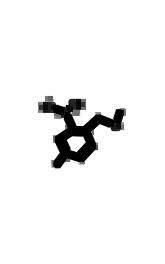 COCc1ccc(C)cc1N(O)O